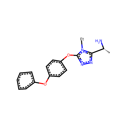 CCn1c(Oc2ccc(Oc3ccccc3)cc2)nnc1[C@@H](C)N